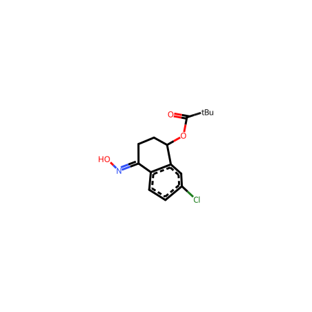 CC(C)(C)C(=O)OC1CCC(=NO)c2ccc(Cl)cc21